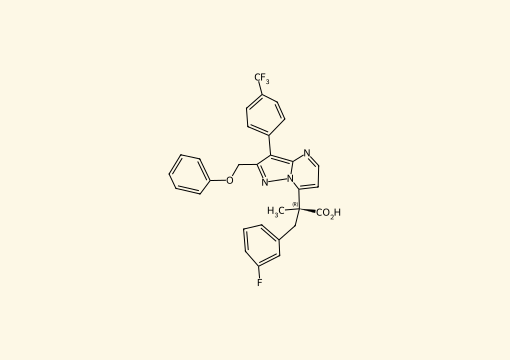 C[C@](Cc1cccc(F)c1)(C(=O)O)c1ccnc2c(-c3ccc(C(F)(F)F)cc3)c(COc3ccccc3)nn12